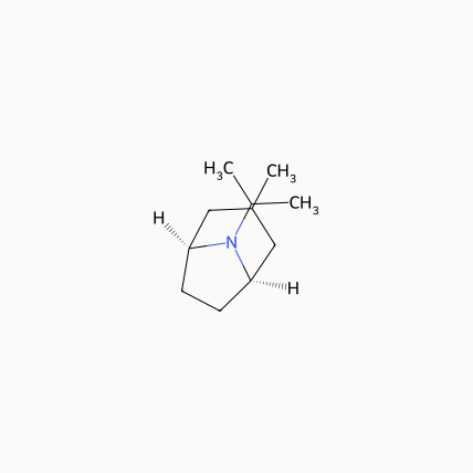 CC1C[C@H]2CC[C@@H](C1)N2C(C)C